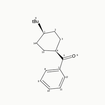 CC(C)(C)[C@H]1CC[C@@H](C(=O)c2ccccc2)CC1